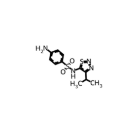 CC(C)c1nnsc1NS(=O)(=O)c1ccc(N)cc1